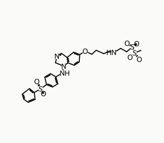 CS(=O)(=O)S(=O)(=O)CCNCCCCOc1ccc2c(c1)C=NCN2Nc1ccc(S(=O)(=O)c2ccccc2)cc1